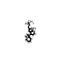 CNCCc1cc2c(-c3cnn4ncccc34)ccnc2[nH]1